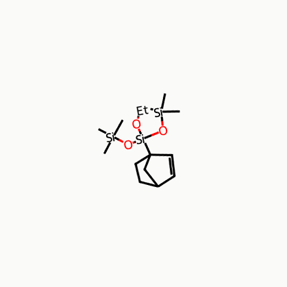 CCO[Si](O[Si](C)(C)C)(O[Si](C)(C)C)C12C=CC(CC1)C2